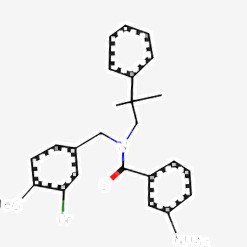 COc1ccc(CN(CC(C)(C)c2ccccc2)C(=O)c2cccc(NC(C)=O)c2)cc1Br